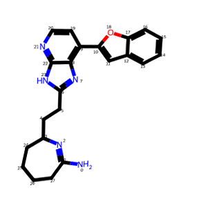 NC1=NC(CCc2nc3c(-c4cc5ccccc5o4)ccnc3[nH]2)CCCC1